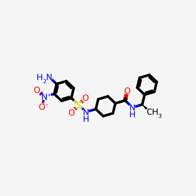 C[C@@H](NC(=O)C1CCC(NS(=O)(=O)c2ccc(N)c([N+](=O)[O-])c2)CC1)c1ccccc1